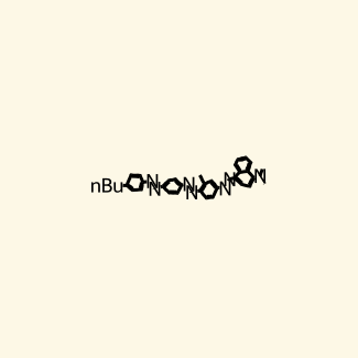 CCCCc1ccc(N=Nc2ccc(N=Nc3ccc(N=Nc4ccc(N(C)C)c5ccccc45)cc3C)cc2)cc1